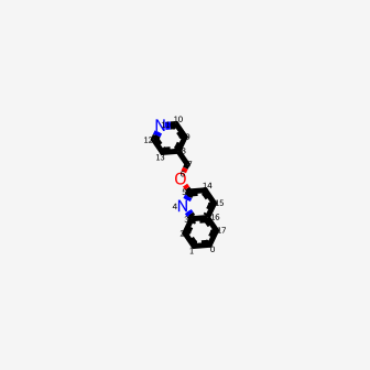 c1ccc2nc(OCc3ccncc3)ccc2c1